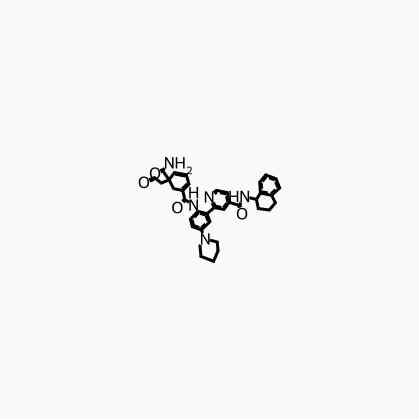 NC(=O)C1(CC=O)C=CC=C(C(=O)Nc2ccc(N3CCCCC3)cc2-c2cc(C(=O)NC3CCCc4ccccc43)ccn2)C1